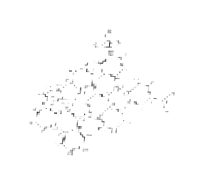 CC(C)c1ccc(N(c2ccc([Si](C)(C)C)cc2)c2cc3c(c4ccccc24)-c2c(c4ccccc4c4ccccc24)C32c3ccccc3-c3ccccc32)cc1